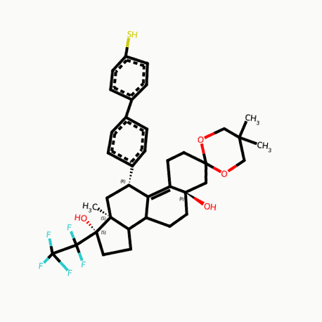 CC1(C)COC2(CCC3=C4C(CC[C@@]3(O)C2)C2CC[C@@](O)(C(F)(F)C(F)(F)F)[C@@]2(C)C[C@@H]4c2ccc(-c3ccc(S)cc3)cc2)OC1